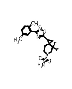 Cc1ccc(C)c(-c2noc(C3CC34CCN(S(N)(=O)=O)CC4(F)F)n2)c1